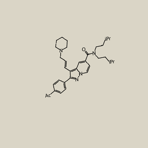 CC(=O)c1ccc(-c2nn3ccc(C(=O)N(CCC(C)C)CCC(C)C)cc3c2C=CCN2CCCCC2)cc1